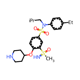 CCc1ccc(N(CC(C)C)S(=O)(=O)c2ccc(OC3CCNCC3)c(S(C)(=N)=O)c2)cc1